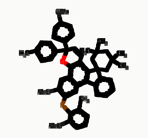 COc1ccc(C2(c3ccc(C)cc3)C=Cc3c4c(c5cc(Sc6c(C)cccc6OC)c(OC)cc5c3O2)-c2ccccc2C42CC(C)(C)CC(C)(C)C2)cc1